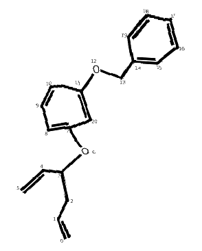 C=CCC(C=C)Oc1cccc(OCc2ccccc2)c1